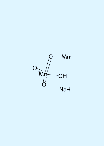 [Mn].[NaH].[O]=[Mn](=[O])(=[O])[OH]